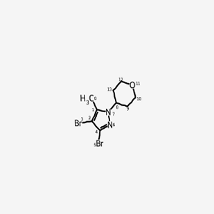 Cc1c(Br)c(Br)nn1C1CCOCC1